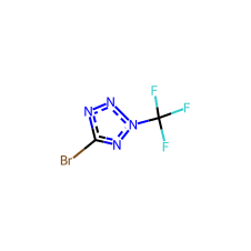 FC(F)(F)n1nnc(Br)n1